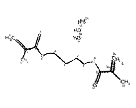 C=C(C)C(=O)OCCCCOC(=O)C(=C)C.[Mg+2].[OH-].[OH-]